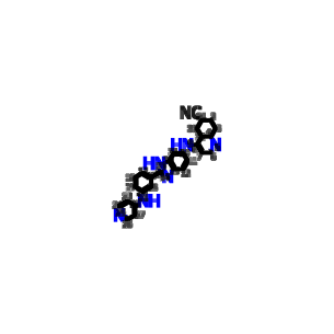 N#CC1CCC2N=CC=C(Nc3ccc4nc(-c5cccc(Nc6ccncc6)c5)[nH]c4c3)C2C1